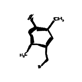 Cc1cc(CBr)c(C)cc1Br